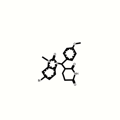 COc1ccc(C(C2CCC(=O)NC2=O)n2c(=O)n(C)c3cc(Br)ccc32)cc1